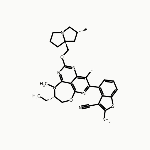 CC[C@H]1COc2nc(-c3cccc4sc(N)c(C#N)c34)c(F)c3nc(OC[C@@]45CCCN4C[C@H](F)C5)nc(c23)N1C